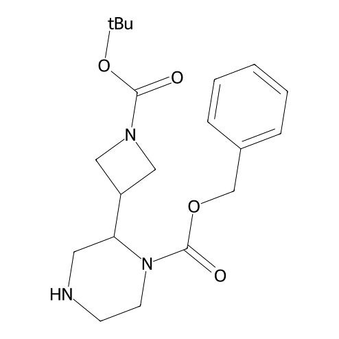 CC(C)(C)OC(=O)N1CC(C2CNCCN2C(=O)OCc2ccccc2)C1